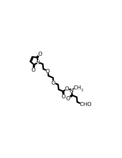 CN(OC(=O)CCOCCOCCN1C(=O)C=CC1=O)C(=O)CCC=O